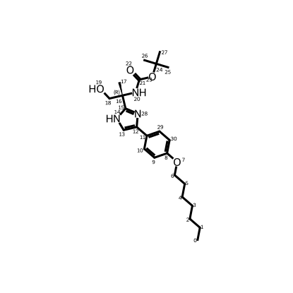 CCCCCCCOc1ccc(-c2c[nH]c([C@](C)(CO)NC(=O)OC(C)(C)C)n2)cc1